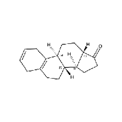 O=C1CC[C@H]2[C@@H]3CCC4=C(CC=CC4)[C@H]3CC[C@H]12